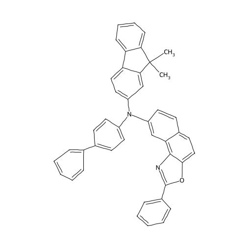 CC1(C)c2ccccc2-c2ccc(N(c3ccc(-c4ccccc4)cc3)c3ccc4ccc5oc(-c6ccccc6)nc5c4c3)cc21